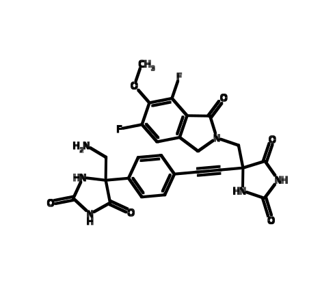 COc1c(F)cc2c(c1F)C(=O)N(CC1(C#Cc3ccc(C4(CN)NC(=O)NC4=O)cc3)NC(=O)NC1=O)C2